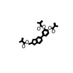 C=C(C)C(=O)OCC1Cc2ccc(-c3ccc(OC(=O)C(=C)C)c(OC(=O)C(=C)C)c3)cc2C1